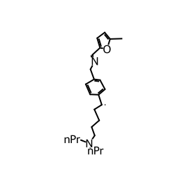 CCCN(CCC)CCCC[CH]c1ccc(CN=Cc2ccc(C)o2)cc1